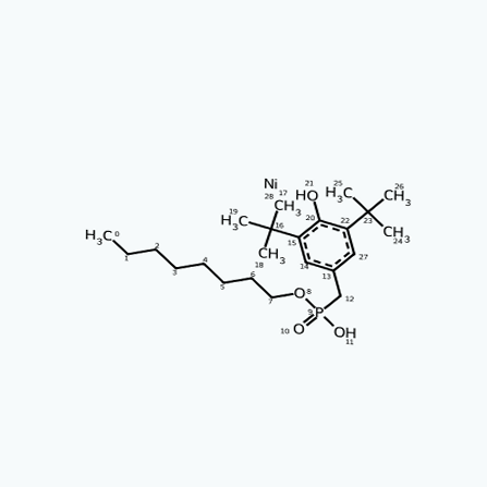 CCCCCCCCOP(=O)(O)Cc1cc(C(C)(C)C)c(O)c(C(C)(C)C)c1.[Ni]